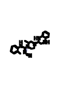 Cc1ccccc1N/C(=N/C#N)N1CCN(C2CNc3ccccc3N2)CC1C